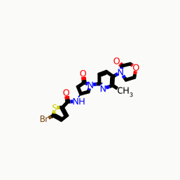 Cc1nc(N2C[C@H](NC(=O)c3ccc(Br)s3)CC2=O)ccc1N1CCOCC1=O